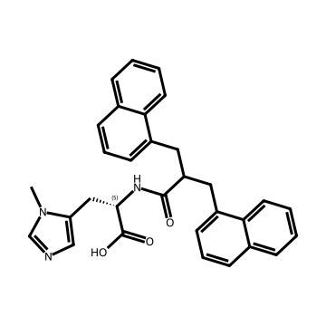 Cn1cncc1C[C@H](NC(=O)C(Cc1cccc2ccccc12)Cc1cccc2ccccc12)C(=O)O